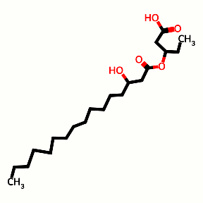 CCCCCCCCCCCCCC(O)CC(=O)OC(CC)CC(=O)O